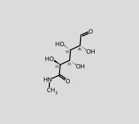 CNC(=O)[C@@H](O)[C@@H](O)[C@H](O)[C@@H](O)C=O